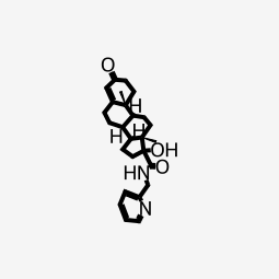 C[C@]12CCC(=O)C=C1CC[C@@H]1[C@H]2CC[C@@]2(C)[C@H]1CCC2(O)C(=O)NCc1ccccn1